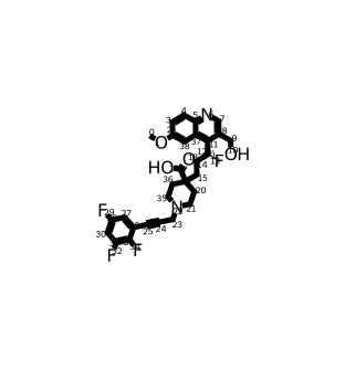 COc1ccc2ncc(CO)c([C@H](F)CCC3(C(=O)O)CCN(CC#Cc4cc(F)cc(F)c4F)CC3)c2c1